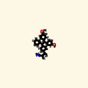 COc1ccc(C(=C(c2ccccc2)c2ccc(/C(C)=C(/C)C#N)cc2)c2ccc(OC)cc2)cc1